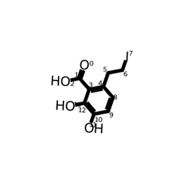 O=C(O)c1c(CCI)ccc(O)c1O